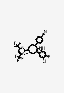 N#Cc1ccc(C2CCC(C3N=C(C(F)(F)F)C=C(C(F)(F)F)N3)CCc3c2[nH]c2cc(F)c(Cl)cc32)cc1